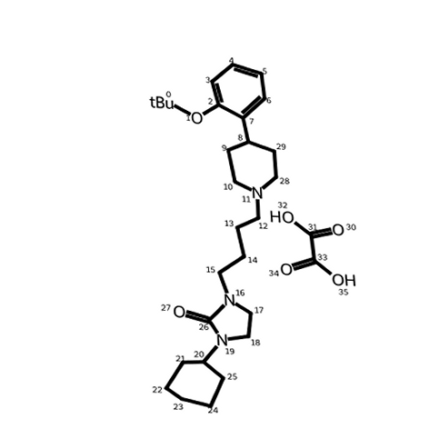 CC(C)(C)Oc1ccccc1C1CCN(CCCCN2CCN(C3CCCCC3)C2=O)CC1.O=C(O)C(=O)O